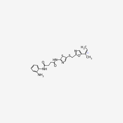 C/C=C(/C)c1cnc(CSc2cnc(NC(=O)CCC(=O)Nc3ccccc3N)s2)o1